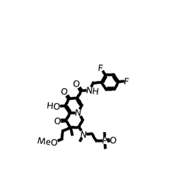 COCCC1(C)C(=O)c2c(O)c(=O)c(C(=O)NCc3ccc(F)cc3F)cn2CC1N(C)CCP(C)(C)=O